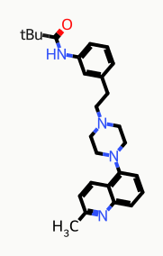 Cc1ccc2c(N3CCN(CCc4cccc(NC(=O)C(C)(C)C)c4)CC3)cccc2n1